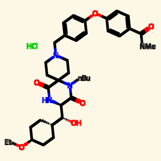 CCCCN1C(=O)[C@@H]([C@H](O)[C@H]2CC[C@H](OCC)CC2)NC(=O)C12CCN(Cc1ccc(Oc3ccc(C(=O)NC)cc3)cc1)CC2.Cl